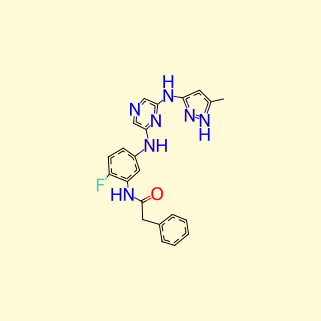 Cc1cc(Nc2cncc(Nc3ccc(F)c(NC(=O)Cc4ccccc4)c3)n2)n[nH]1